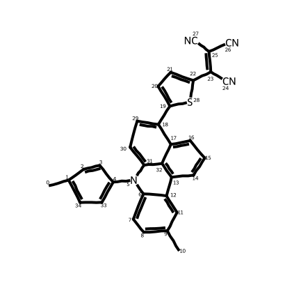 Cc1ccc(N2c3ccc(C)cc3-c3cccc4c(-c5ccc(C(C#N)=C(C#N)C#N)s5)ccc2c34)cc1